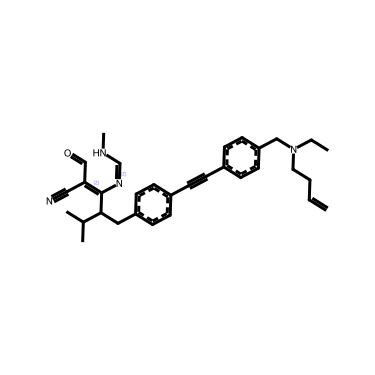 C=CCCN(CC)Cc1ccc(C#Cc2ccc(CC(C(/N=C\NC)=C(\C#N)C=O)C(C)C)cc2)cc1